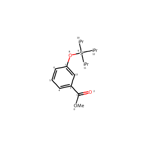 COC(=O)c1cccc(O[Si](C(C)C)(C(C)C)C(C)C)c1